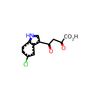 O=C(O)C(=O)CC(=O)c1c[nH]c2ccc(Cl)cc12